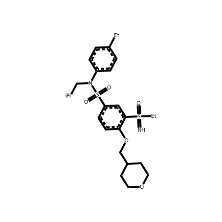 CCc1ccc(N(CC(C)C)S(=O)(=O)c2ccc(OCC3CCOCC3)c(S(=N)(=O)CC)c2)cc1